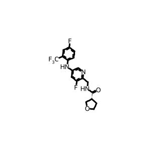 O=C(NCc1ncc(Nc2ccc(F)cc2C(F)(F)F)cc1F)[C@@H]1CCOC1